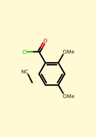 CC#N.COc1ccc(C(=O)Cl)c(OC)c1